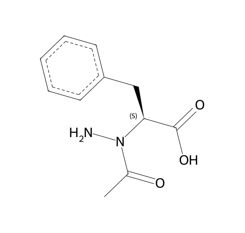 CC(=O)N(N)[C@@H](Cc1ccccc1)C(=O)O